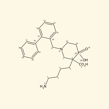 NCCCCC1(C(=O)O)CN(Cc2ccccc2-c2ccccc2)CCP1(=O)O